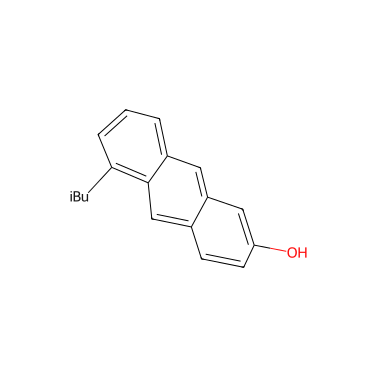 CCC(C)c1cccc2cc3cc(O)ccc3cc12